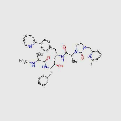 Cc1cccc(CN2CCN([C@H](C(=O)N[C@H](Cc3ccc(-c4ccccn4)cc3)C[C@@H](O)[C@H](Cc3ccccc3)NC(=O)[C@@H](NC(=O)O)C(C)(C)C)C(C)(C)C)C2=O)n1